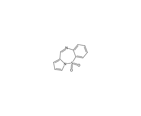 O=S1(=O)c2ccccc2N=Cc2cccn21